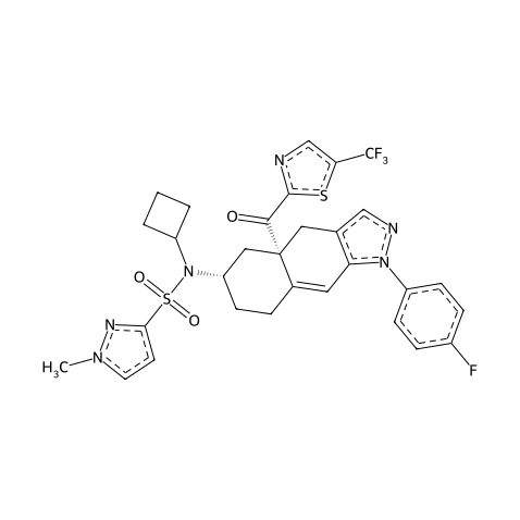 Cn1ccc(S(=O)(=O)N(C2CCC2)[C@H]2CCC3=Cc4c(cnn4-c4ccc(F)cc4)C[C@]3(C(=O)c3ncc(C(F)(F)F)s3)C2)n1